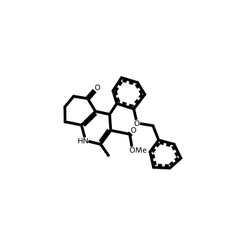 COC(=O)C1=C(C)NC2=C(C(=O)CCC2)C1c1ccccc1OCc1ccccc1